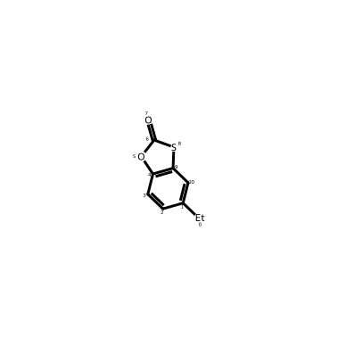 CCc1ccc2oc(=O)sc2c1